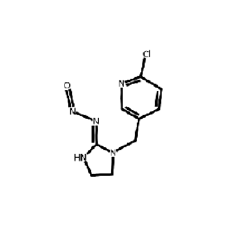 O=N/N=C1\NCCN1Cc1ccc(Cl)nc1